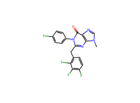 Cn1cnc2c(=O)n(-c3ccc(F)cc3)c(Cc3ccc(F)c(F)c3F)nc21